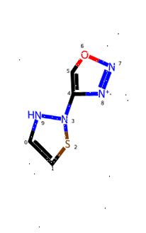 C1=CSN(C2=CON=[N+]2)N1